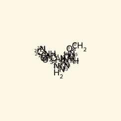 C=CC(=O)N1C[C@@H]2C[C@@H]1[C@H](n1nc(-c3ccc(C(=O)Nc4ncccc4C(F)(F)F)cc3)c3c(N)ncnc31)C2